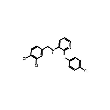 Clc1ccc(Oc2ncccc2NCc2ccc(Cl)c(Cl)c2)cc1